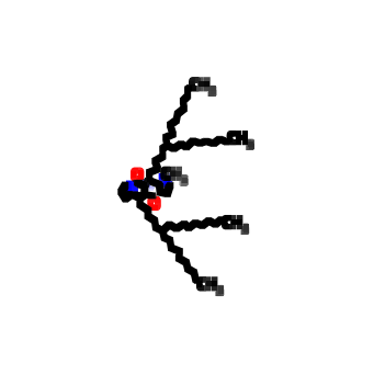 CCCCCCCCCCC(CCCCCCCCCC)CCCCC/C(c1cccn1C)=c1/c(C=O)c(CCCCCC(CCCCCCCCCC)CCCCCCCCCC)c2cccn2c1=O